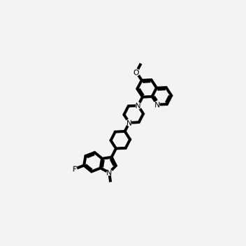 COc1cc(N2CCN(C3CCC(c4cn(C)c5cc(F)ccc45)CC3)CC2)c2ncccc2c1